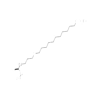 CCOC(=O)CCCCCCCCCCCSCCCNC(=O)OC(C)(C)C